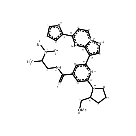 CCN(CC)C(C)CNC(=O)c1cc(-c2cnn3ccc(-c4cccs4)nc23)nc(N2CCCC2COC)c1